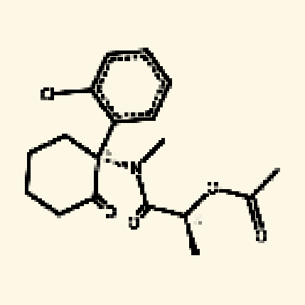 CC(=O)O[C@@H](C)C(=O)N(C)[C@@]1(c2ccccc2Cl)CCCCC1=O